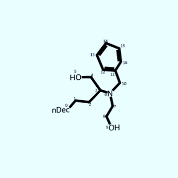 CCCCCCCCCCCCC(CO)N(CCO)Cc1ccccc1